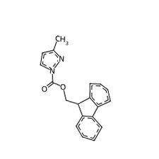 Cc1ccn(C(=O)OCC2c3ccccc3-c3ccccc32)n1